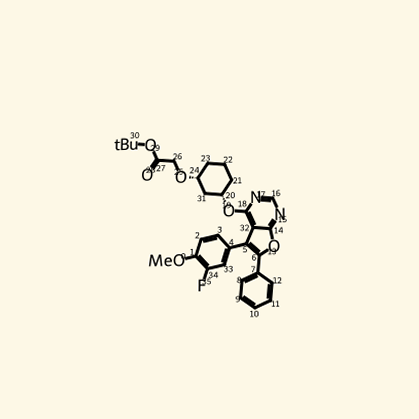 COc1ccc(-c2c(-c3ccccc3)oc3ncnc(O[C@H]4CCC[C@@H](OCC(=O)OC(C)(C)C)C4)c23)cc1F